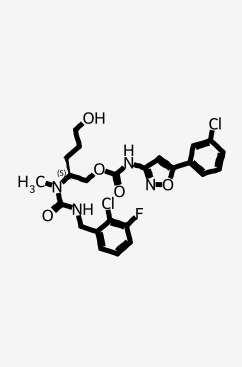 CN(C(=O)NCc1cccc(F)c1Cl)[C@@H](CCCO)COC(=O)Nc1cc(-c2cccc(Cl)c2)on1